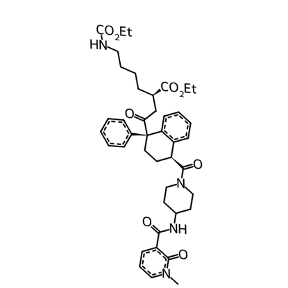 CCOC(=O)NCCCC[C@H](CC(=O)[C@@]1(c2ccccc2)CC[C@H](C(=O)N2CCC(NC(=O)c3cccn(C)c3=O)CC2)c2ccccc21)C(=O)OCC